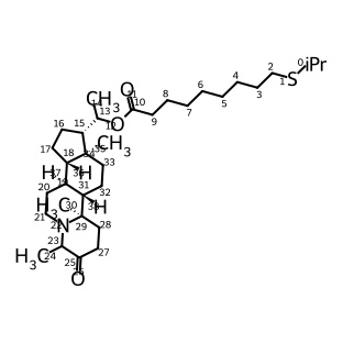 CC(C)SCCCCCCCCC(=O)OC(C)[C@H]1CC[C@H]2[C@@H]3CCN4C(C)C(=O)CC[C@]4(C)[C@H]3CC[C@]12C